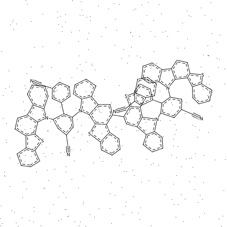 N#Cc1cccc(-c2c(-n3c4ccccc4c4ccc5c6ccccc6sc5c43)cc(C#N)cc2-n2c3ccccc3c3cc(-c4cc5c6ccccc6n(-c6cc(C#N)cc(-n7c8ccccc8c8ccc9sc%10ccccc%10c9c87)c6-c6cccc(C#N)c6)c5c5c4sc4ccccc45)c4c5ccccc5sc4c32)c1